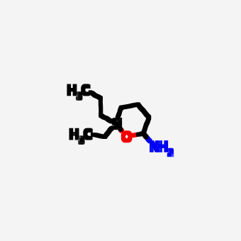 CCC[Si]1(CC)CCCC(N)O1